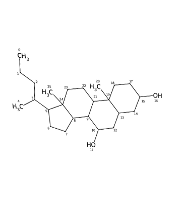 CCCC(C)C1CCC2C3C(O)CC4CC(O)CCC4(C)C3CCC12C